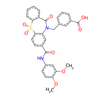 COc1ccc(NC(=O)c2ccc3c(c2)N(Cc2cccc(C(=O)O)c2)C(=O)c2ccccc2S3(=O)=O)cc1OC